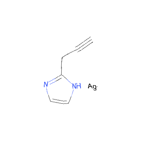 C#CCc1ncc[nH]1.[Ag]